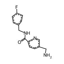 NCc1ccc(C(=O)NCc2ccc(F)cc2)nc1